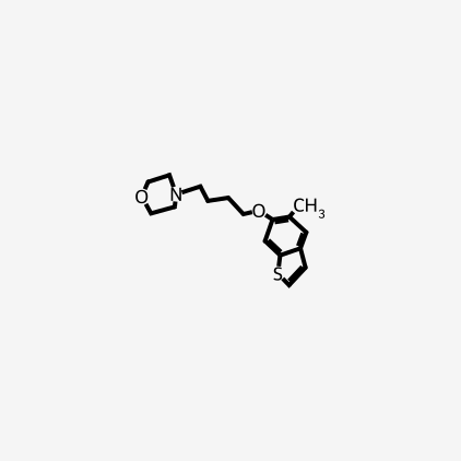 Cc1cc2ccsc2cc1OCCCCN1CCOCC1